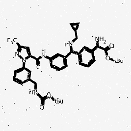 CC(C)(C)OC(=O)NCc1cccc(-n2nc(C(F)(F)F)cc2C(=O)Nc2cccc(C(NCC3CC3)c3cccc(C(N)C(=O)OC(C)(C)C)c3)c2)c1